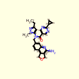 CCc1cc(N(Cc2ccc3c4c(c(N)nc3c2)COC4)C(=O)c2cnc(C3CC3)nc2)n(C)n1